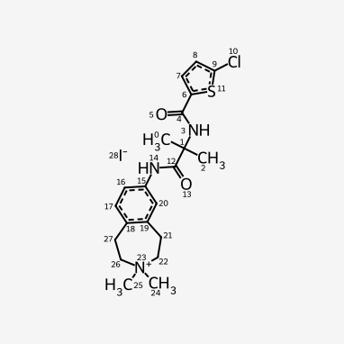 CC(C)(NC(=O)c1ccc(Cl)s1)C(=O)Nc1ccc2c(c1)CC[N+](C)(C)CC2.[I-]